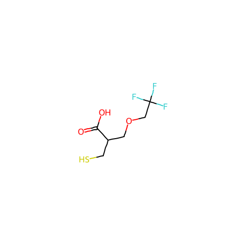 O=C(O)C(CS)COCC(F)(F)F